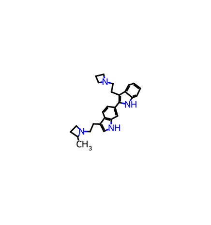 CC1CCN1CCc1c[nH]c2cc(-c3[nH]c4ccccc4c3CCN3CCC3)ccc12